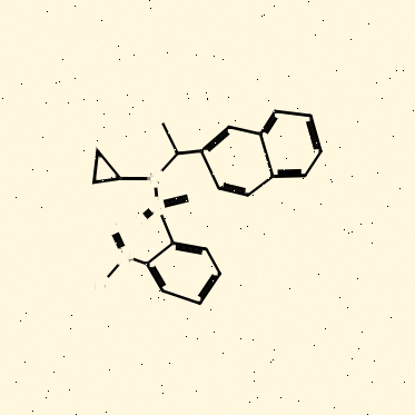 CC(c1ccc2ccccc2c1)N(C1CC1)S(=O)(=O)c1ccccc1[N+](=O)[O-]